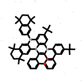 CC(C)(C)c1ccc(N2C3=C(B4c5cc6c(cc5N(c5ccc7c(c5)C(C)(C)CCC7(C)C)c5cc(C(C)(C)C)cc2c54)C(C)(C)CCC6(C)C)c2ccccc2CC3)c(-c2ccccc2)c1